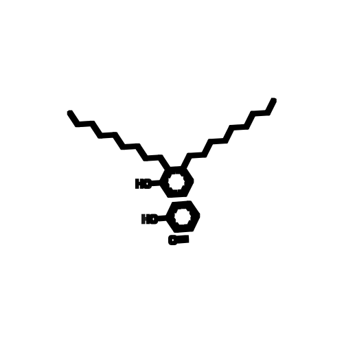 C=O.CCCCCCCCCc1cccc(O)c1CCCCCCCCC.Oc1ccccc1